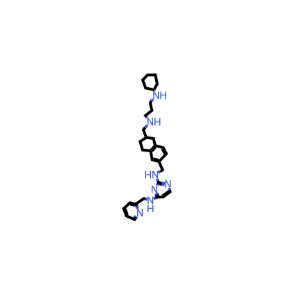 c1ccc(CNc2ccnc(NCc3ccc4c(c3)CCC(CNCCCNC3CCCCC3)C4)n2)nc1